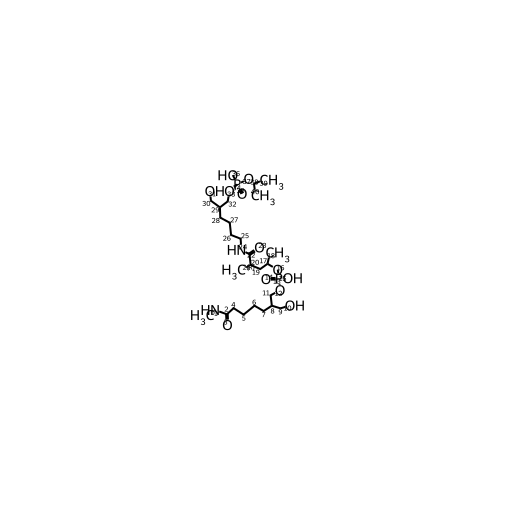 CNC(=O)CCCCC(CO)COP(=O)(O)OC(C)C[C@@H](C)C(=O)NCCCCC(CO)COP(=O)(O)OC(C)C